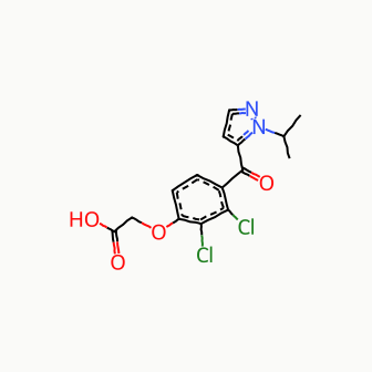 CC(C)n1nccc1C(=O)c1ccc(OCC(=O)O)c(Cl)c1Cl